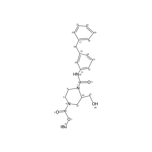 CC(C)(C)OC(=O)N1CCN(C(=O)Nc2cccc(Cc3ccccc3)c2)C(CO)C1